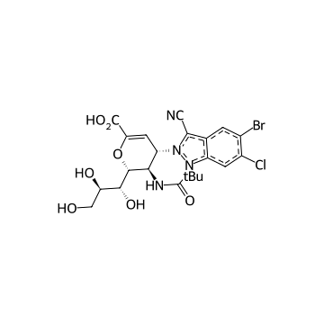 CC(C)(C)C(=O)N[C@H]1[C@H]([C@H](O)[C@H](O)CO)OC(C(=O)O)=C[C@@H]1n1nc2cc(Cl)c(Br)cc2c1C#N